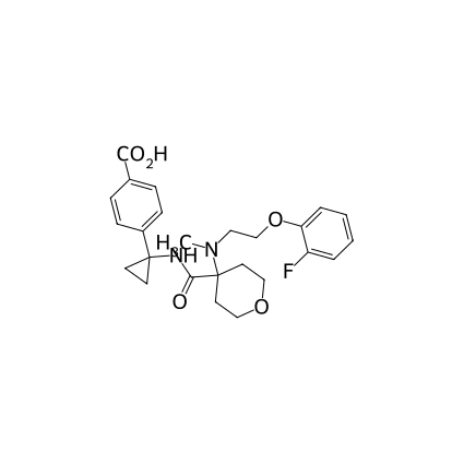 CN(CCOc1ccccc1F)C1(C(=O)NC2(c3ccc(C(=O)O)cc3)CC2)CCOCC1